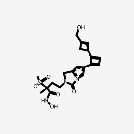 CC(CCN1Cc2cc(C3=CC=C3C34CC(CO)(C3)C4)cn2C1=O)(C(=O)NO)S(C)(=O)=O